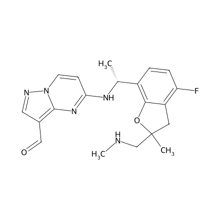 CNCC1(C)Cc2c(F)ccc([C@@H](C)Nc3ccn4ncc(C=O)c4n3)c2O1